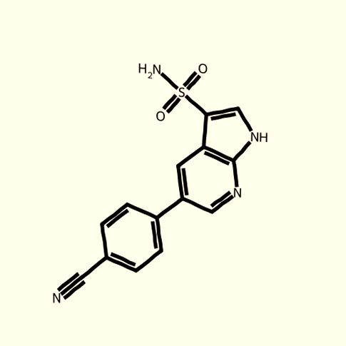 N#Cc1ccc(-c2cnc3[nH]cc(S(N)(=O)=O)c3c2)cc1